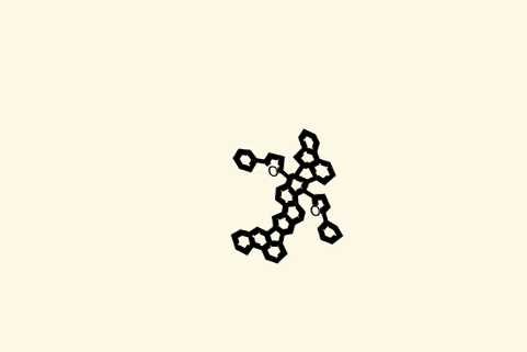 c1ccc(-c2ccc(-c3c4c(c(-c5ccc(-c6ccccc6)o5)c5c3ccc3c6cc7c(cc6ccc35)-c3cccc5c3c-7cc3ccccc35)-c3cccc5c3c-4cc3ccccc35)o2)cc1